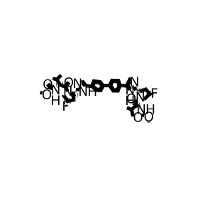 COC(=O)N[C@H](C(=O)N1C[C@@H](F)C[C@H]1c1ncc(-c2ccc(-c3ccc(-c4cnc([C@@H]5C[C@H](F)CN5C(=O)[C@@H](NC(=O)OC)C(C)C)[nH]4)cc3)cc2)[nH]1)C(C)C